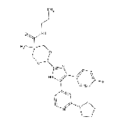 CCCNC(=O)C1(C)COC(c2nc(-c3ccc(F)cc3)c(-c3ccnc(N4CCCC4)n3)[nH]2)OC1